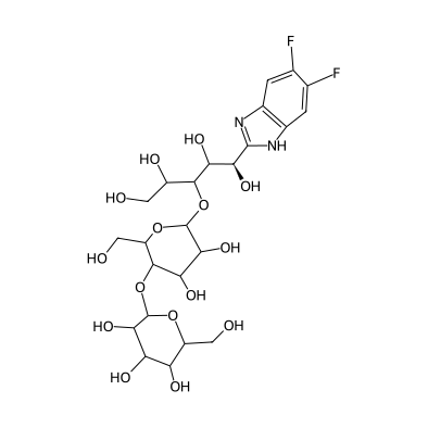 OCC(O)C(OC1OC(CO)C(OC2OC(CO)C(O)C(O)C2O)C(O)C1O)C(O)[C@H](O)c1nc2cc(F)c(F)cc2[nH]1